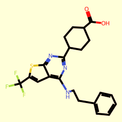 O=C(O)C1CCC(c2nc(NCCc3ccccc3)c3cc(C(F)(F)F)sc3n2)CC1